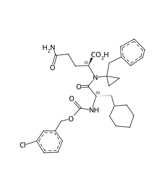 NC(=O)CC[C@@H](C(=O)O)N(C(=O)[C@H](CC1CCCCC1)NC(=O)OCc1cccc(Cl)c1)C1(Cc2ccccc2)CC1